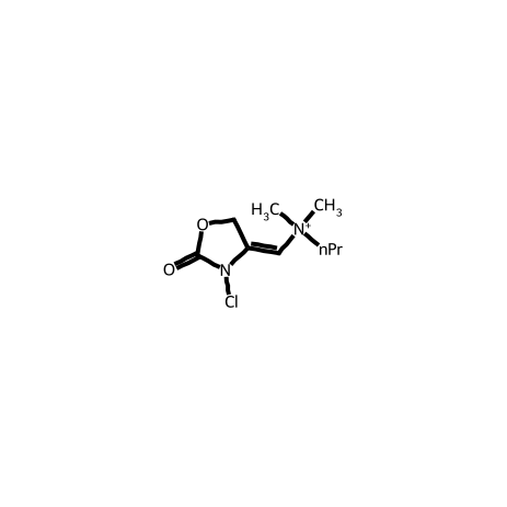 CCC[N+](C)(C)/C=C1\COC(=O)N1Cl